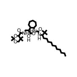 CCCCCCCCCCCC(NC(=O)NC1CCCCCC1C(CNC(=O)C1OC(C)(C)OCC1(C)C)C(=O)O)C(C)(C)C